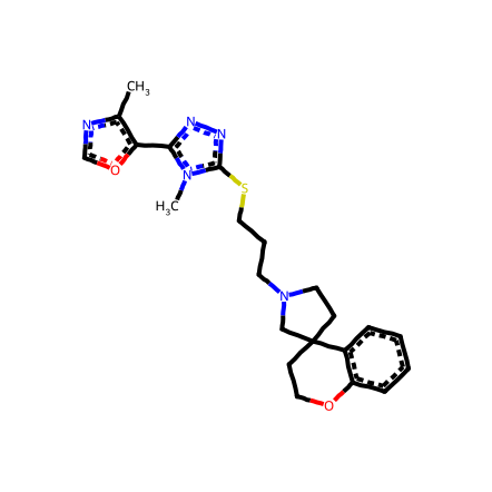 Cc1ncoc1-c1nnc(SCCCN2CCC3(CCOc4ccccc43)C2)n1C